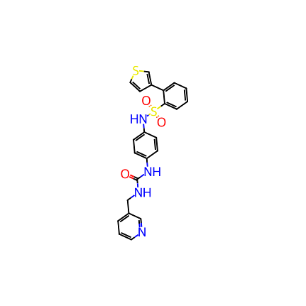 O=C(NCc1cccnc1)Nc1ccc(NS(=O)(=O)c2ccccc2-c2ccsc2)cc1